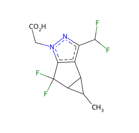 CC1C2c3c(C(F)F)nn(CC(=O)O)c3C(F)(F)C12